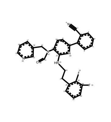 N#Cc1ccccc1-c1ccc(N(C=O)Cc2cccnc2)c(NCCc2cccc(F)c2F)n1